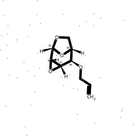 C=CCO[C@H]1[C@@H]2O[C@H]2[C@@H]2OC[C@H]1O2